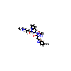 CCC(=O)NC(Cc1nc2ccc(C(C)C)cc2s1)C(=O)NC(CNC(=O)/C=C/CN(C)C)Cc1ccccc1